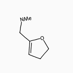 CNCC1=CCCO1